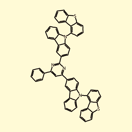 c1ccc(-c2cc(-c3ccc4c(c3)c3ccccc3n4-c3cccc4sc5ccccc5c34)nc(-c3ccc4c(c3)c3ccccc3n4-c3cccc4sc5ccccc5c34)n2)cc1